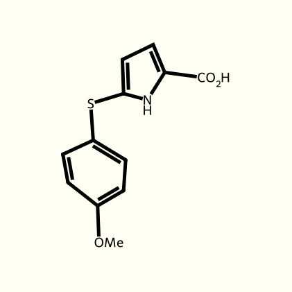 COc1ccc(Sc2ccc(C(=O)O)[nH]2)cc1